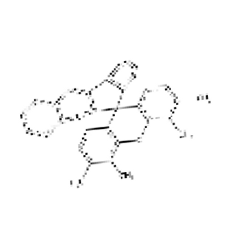 Cc1ccc2c(c1C)Oc1c(ccc(C)c1C)C21c2ccccc2-c2cc3ccccc3cc21